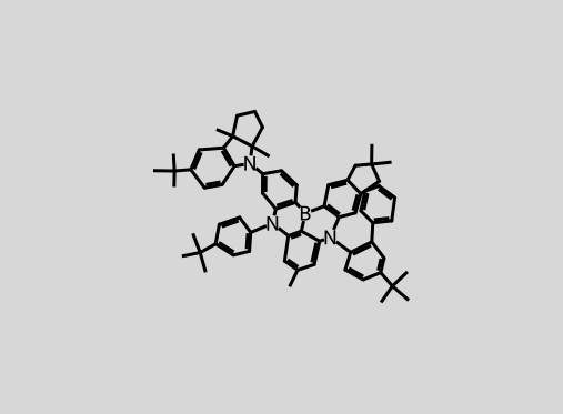 Cc1cc2c3c(c1)N(c1ccc(C(C)(C)C)cc1-c1ccccc1)c1cc4c(cc1B3c1ccc(N3c5ccc(C(C)(C)C)cc5C5(C)CCCC35C)cc1N2c1ccc(C(C)(C)C)cc1)CC(C)(C)C4